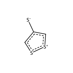 [S-]c1cs[s+]c1